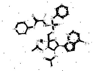 CC(=O)O[C@H]1[C@H](c2ccc3c(N)ccnn23)O[C@](C#N)(CO[P@](=O)(N[C@@H](C)C(=O)OC2CCOCC2)Oc2ccccc2)[C@H]1OC(C)=O